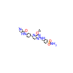 CN1CC[C@H](C(=O)Nc2ccc(-c3ccc4nc(NCc5ccc(S(N)(=O)=O)cc5)nc(OC5CC5)c4n3)cc2)C1